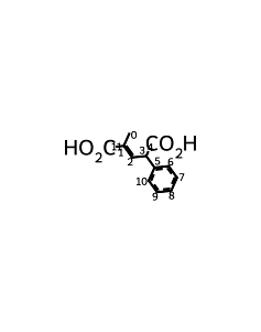 CC(=CC(C(=O)O)c1ccccc1)C(=O)O